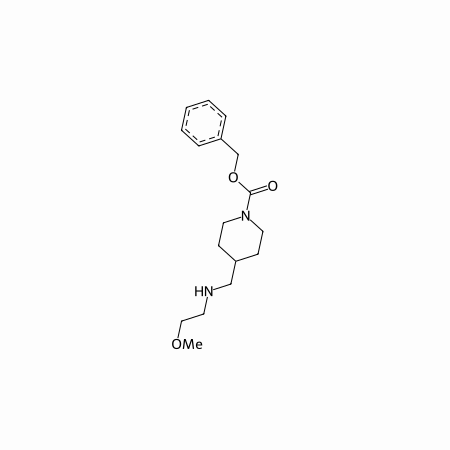 COCCNCC1CCN(C(=O)OCc2ccccc2)CC1